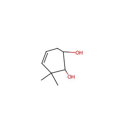 CC1(C)C=CCC(O)C1O